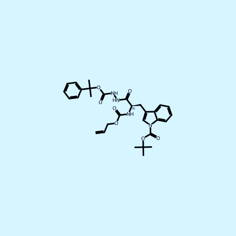 C=CCOC(=O)N[C@H](Cc1cn(C(=O)OC(C)(C)C)c2ccccc12)C(=O)NNC(=O)OC(C)(C)c1ccccc1